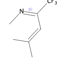 C/N=C(\C=C(C)C)C(F)(F)F